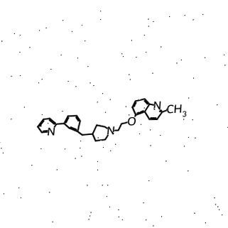 Cc1ccc2c(OCCN3CCC(Cc4cccc(-c5ccccn5)c4)CC3)cccc2n1